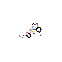 CSc1ccc(Cl)cc1NS(=O)(=O)c1ccc(C)o1